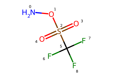 NOS(=O)(=O)C(F)(F)F